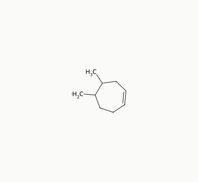 [CH2]C1CCC=CCC1C